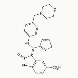 O=C1Nc2ccc(C(=O)O)cc2C1=C(Nc1ccc(CN2CCOCC2)cc1)c1ccsc1